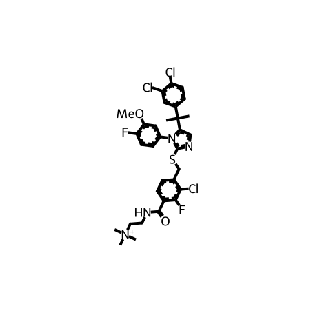 COc1cc(-n2c(C(C)(C)c3ccc(Cl)c(Cl)c3)cnc2SCc2ccc(C(=O)NCC[N+](C)(C)C)c(F)c2Cl)ccc1F